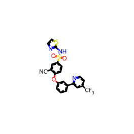 N#Cc1cc(S(=O)(=O)Nc2nccs2)ccc1Oc1cccc(-c2cc(C(F)(F)F)ccn2)c1